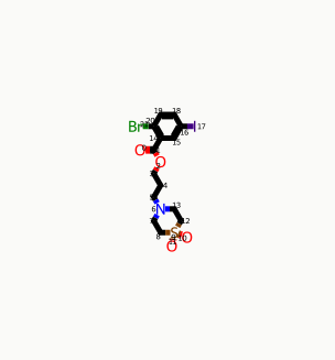 O=C(OCCCN1CCS(=O)(=O)CC1)c1cc(I)ccc1Br